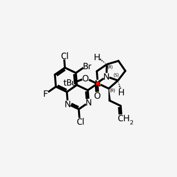 C=CC[C@@H]1[C@@H]2CC[C@H](CN1c1nc(Cl)nc3c(F)cc(Cl)c(Br)c13)N2C(=O)OC(C)(C)C